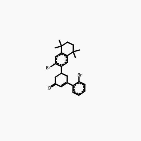 CC1(C)CCC(C)(C)c2cc(C3CC(=O)C=C(c4ccccc4Br)C3)c(Br)cc21